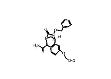 NC(=O)C1c2ccc(OCC=O)cc2[C@H]2CN1C(=O)N2OCc1ccccc1